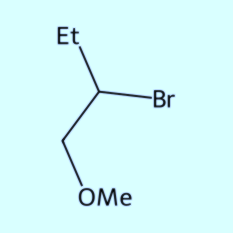 CCC(Br)COC